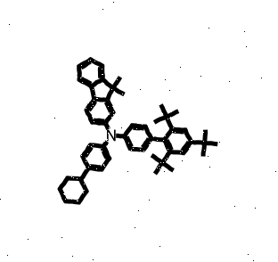 CC(C)(C)c1cc(C(C)(C)C)c(-c2ccc(N(c3ccc(C4CCCCC4)cc3)c3ccc4c(c3)C(C)(C)c3ccccc3-4)cc2)c(C(C)(C)C)c1